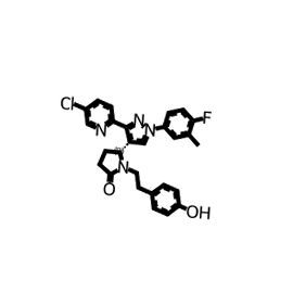 Cc1cc(-n2cc([C@H]3CCC(=O)N3CCc3ccc(O)cc3)c(-c3ccc(Cl)cn3)n2)ccc1F